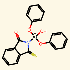 O=C1c2ccccc2C(=S)N1[AsH](O)(Oc1ccccc1)Oc1ccccc1